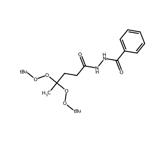 CC(C)(C)OOC(C)(CCC(=O)NNC(=O)c1ccccc1)OOC(C)(C)C